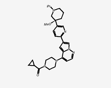 CO[C@]1(c2ccc(-c3cc4c(N5CCN(C(=O)C6CC6)CC5)ccnn4c3)nc2)CCCN(C(C)C)C1